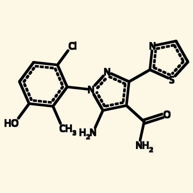 Cc1c(O)ccc(Cl)c1-n1nc(-c2nccs2)c(C(N)=O)c1N